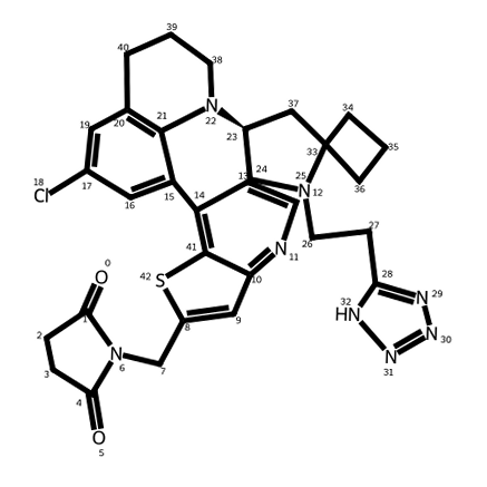 O=C1CCC(=O)N1Cc1cc2nccc(-c3cc(Cl)cc4c3N([C@@H]3CN(CCc5nnn[nH]5)C5(CCC5)C3)CCC4)c2s1